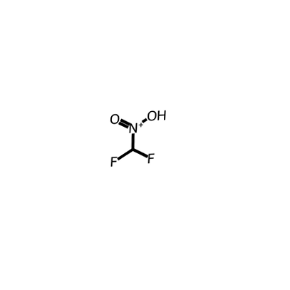 O=[N+](O)C(F)F